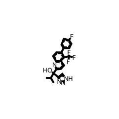 CC(C)C(O)(c1c[nH]nn1)c1ccc2c(C(F)(F)F)c(-c3ccc(F)cc3)ccc2n1